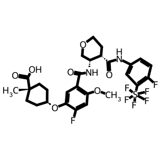 COc1cc(F)c(O[C@H]2CC[C@@](C)(C(=O)O)CC2)cc1C(=O)N[C@@H]1COCC[C@@H]1C(=O)Nc1ccc(F)c(S(F)(F)(F)(F)F)c1